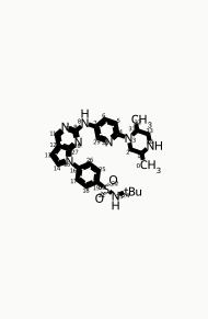 CC1CN(c2ccc(Nc3ncc4ccn(-c5ccc(S(=O)(=O)NC(C)(C)C)cc5)c4n3)cn2)C(C)CN1